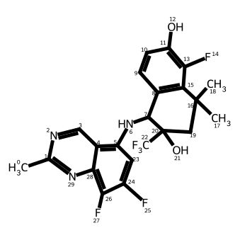 Cc1ncc2c(NC3c4ccc(O)c(F)c4C(C)(C)CC3(O)C(F)(F)F)cc(F)c(F)c2n1